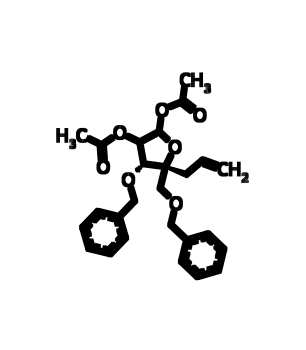 C=CC[C@]1(COCc2ccccc2)OC(OC(C)=O)C(OC(C)=O)[C@H]1OCc1ccccc1